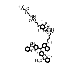 C=CC(=O)OCCNC(=O)OCCSc1c(F)c(F)c(S(=O)(=O)NS(=O)(=O)CCCCNc2ccc(C(c3ccc(N(C)c4ccccc4C)cc3)c3ccc(N(C)c4ccccc4C)cc3)c3ccccc23)c(F)c1F